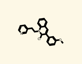 COc1cccc(C2=Cc3ccccc3N(CCc3cccnc3)C2Cl)c1